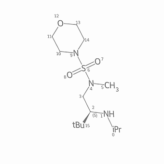 CC(C)N[C@H](CN(C)S(=O)(=O)N1CCOCC1)C(C)(C)C